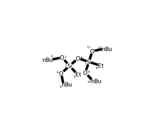 CCCCO[Si](CC)(OCCCC)O[Si](CC)(OCCCC)OCCCC